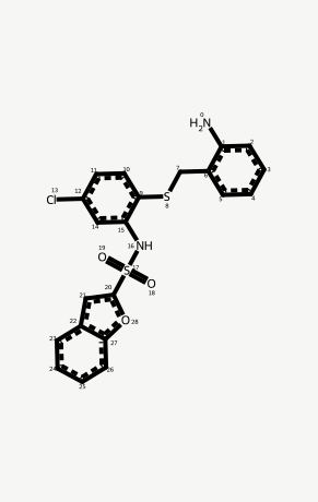 Nc1ccccc1CSc1ccc(Cl)cc1NS(=O)(=O)c1cc2ccccc2o1